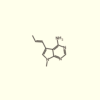 C/C=C/c1cn(C)c2ncnc(N)c12